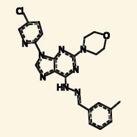 Cc1cccc(C=NNc2nc(N3CCOCC3)nc3c2ncn3-c2ccc(Cl)cn2)c1